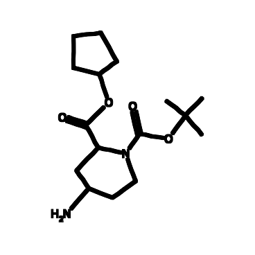 CC(C)(C)OC(=O)N1CCC(N)CC1C(=O)OC1CCCC1